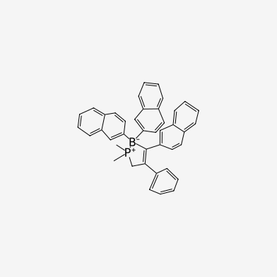 C[P+]1(C)CC(c2ccccc2)=C(c2ccc3ccccc3c2)[B-]1(c1ccc2ccccc2c1)c1ccc2ccccc2c1